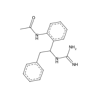 CC(=O)Nc1ccccc1[C](Cc1ccccc1)NC(=N)N